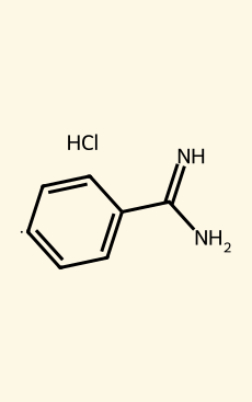 Cl.N=C(N)c1cc[c]cc1